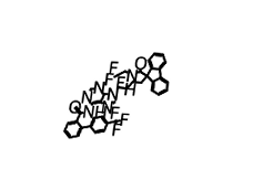 O=C(Nc1ncnc2c1ncn2CCCCC1(C(=O)NCC(F)(F)F)c2ccccc2-c2ccccc21)c1ccccc1-c1ccc(C(F)(F)F)cc1